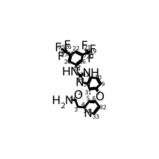 NC(=O)Cc1cc(Oc2ccc3[nH]c(Nc4cc(C(F)(F)F)cc(C(F)(F)F)c4)nc3c2)ccn1